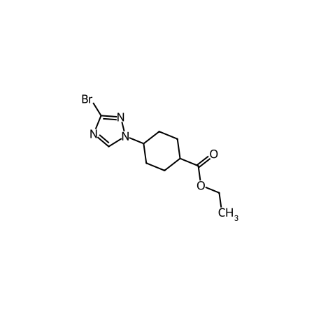 CCOC(=O)C1CCC(n2cnc(Br)n2)CC1